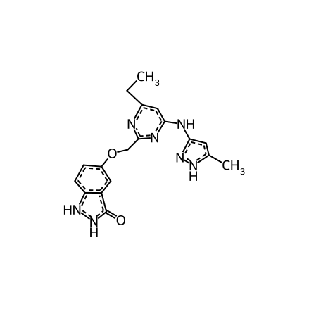 CCc1cc(Nc2cc(C)[nH]n2)nc(COc2ccc3[nH][nH]c(=O)c3c2)n1